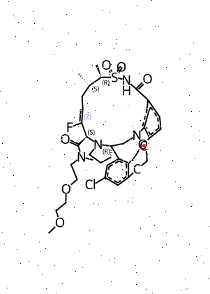 COCCOCCN(C)C(=O)[C@H]1/C(F)=C/C[C@H](C)[C@@H](C)S(=O)(=O)NC(=O)c2ccc3c(c2)N2CCCCc4cc(Cl)cc(c4CO3)[C@]3(CCCN13)C2